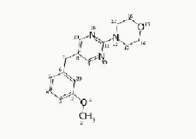 COc1cccc(Cc2cnc(N3CCOCC3)nc2)c1